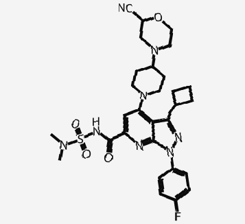 CN(C)S(=O)(=O)NC(=O)c1cc(N2CCC(N3CCOC(C#N)C3)CC2)c2c(C3CCC3)nn(-c3ccc(F)cc3)c2n1